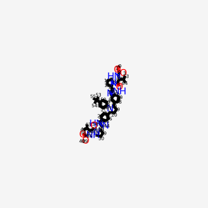 COC(=O)N[C@H](C(=O)N1CCCC1c1nc2cc(C3CCC(c4ccc5[nH]c([C@@H]6CCCN6C(=O)[C@@H](NC(=O)OC)C(C)C)nc5c4)N3c3ccc(C(C)(C)C)cc3)ccc2[nH]1)C(C)C